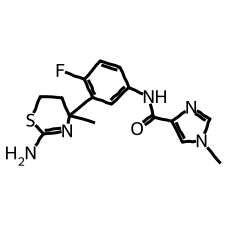 Cn1cnc(C(=O)Nc2ccc(F)c(C3(C)CCSC(N)=N3)c2)c1